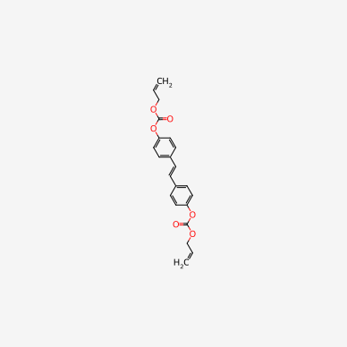 C=CCOC(=O)Oc1ccc(C=Cc2ccc(OC(=O)OCC=C)cc2)cc1